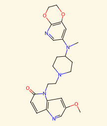 COc1cnc2ccc(=O)n(CCN3CCC(N(C)c4cnc5c(c4)OCCO5)CC3)c2c1